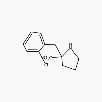 O=C(O)C1(Cc2ccccc2Cl)CCCN1